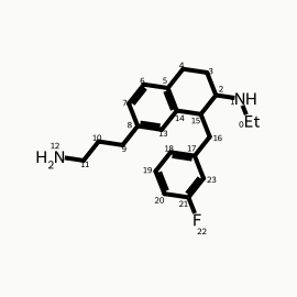 CCNC1CCc2ccc(CCCN)cc2C1Cc1cccc(F)c1